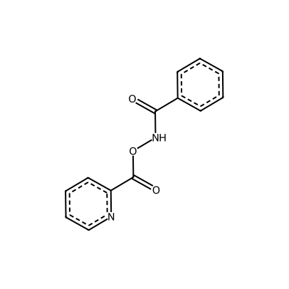 O=C(NOC(=O)c1ccccn1)c1ccccc1